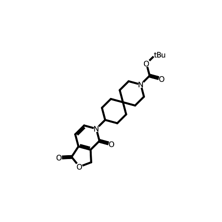 CC(C)(C)OC(=O)N1CCC2(CCC(n3ccc4c(c3=O)COC4=O)CC2)CC1